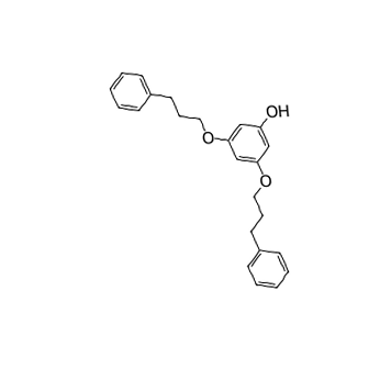 Oc1cc(OCCCc2ccccc2)cc(OCCCc2ccccc2)c1